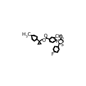 Cc1ccc(C2(COC(=O)c3ccc(N4C(=O)CSC4c4ccc(F)cc4)c(C)c3)CC2)cc1